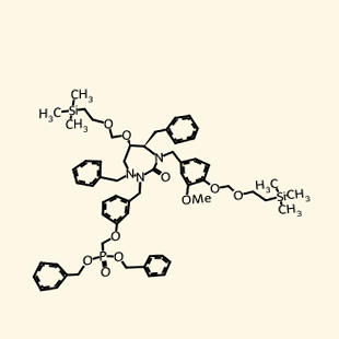 COc1cc(CN2C(=O)N(Cc3cccc(OCP(=O)(OCc4ccccc4)OCc4ccccc4)c3)N(Cc3ccccc3)C[C@@H](OCOCC[Si](C)(C)C)[C@H]2Cc2ccccc2)ccc1OCOCC[Si](C)(C)C